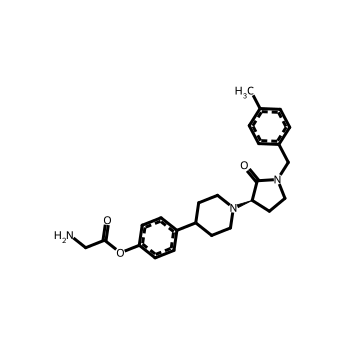 Cc1ccc(CN2CC[C@@H](N3CCC(c4ccc(OC(=O)CN)cc4)CC3)C2=O)cc1